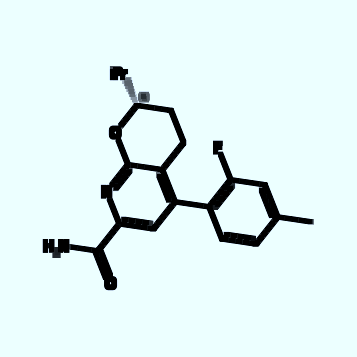 Cc1ccc(-c2cc(C(N)=O)nc3c2CC[C@@H](C(C)C)O3)c(F)c1